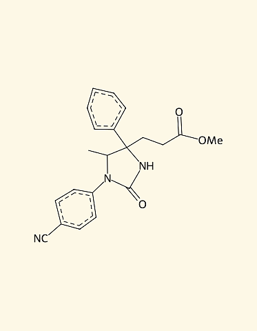 COC(=O)CCC1(c2ccccc2)NC(=O)N(c2ccc(C#N)cc2)C1C